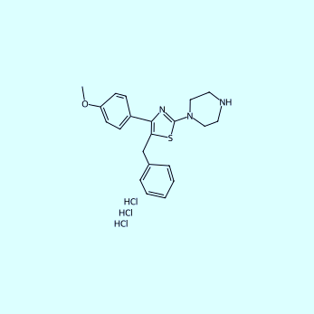 COc1ccc(-c2nc(N3CCNCC3)sc2Cc2ccccc2)cc1.Cl.Cl.Cl